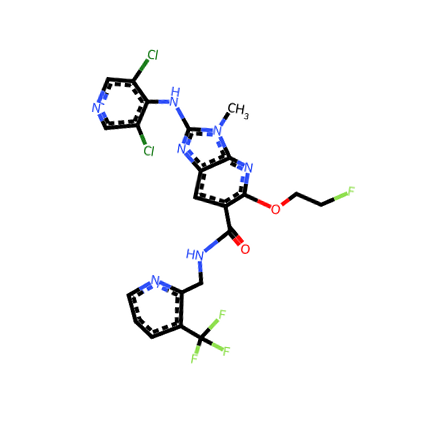 Cn1c(Nc2c(Cl)cncc2Cl)nc2cc(C(=O)NCc3ncccc3C(F)(F)F)c(OCCF)nc21